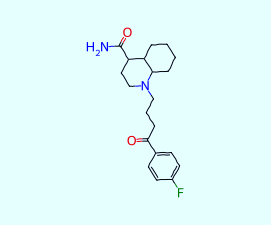 NC(=O)C1CCN(CCCC(=O)c2ccc(F)cc2)C2CCCCC12